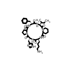 CCC(C)[C@@H]1NC(=O)[C@@H](Cc2ccccc2)NC(=O)[C@@H]2CCCN2C(=O)[C@@H](Cc2c[nH]cn2)NC(=O)[C@H](CCCCN)NC(=O)C2CCCCN2C1=O